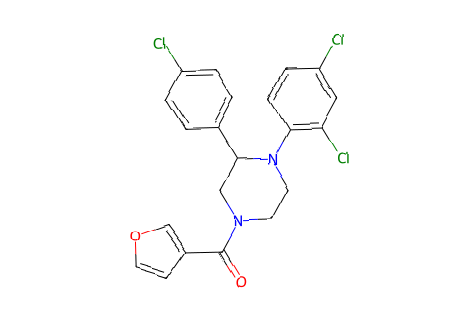 O=C(c1ccoc1)N1CCN(c2ccc(Cl)cc2Cl)C(c2ccc(Cl)cc2)C1